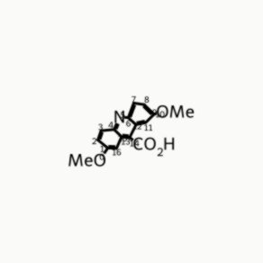 COc1ccc2nc3ccc(OC)cc3c(C(=O)O)c2c1